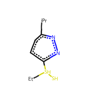 CC[SH](S)c1ccc(C(C)C)nn1